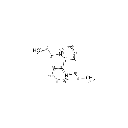 C=CC[n+]1ccccc1-c1cccc[n+]1CC=C